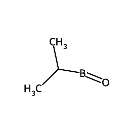 CC(C)B=O